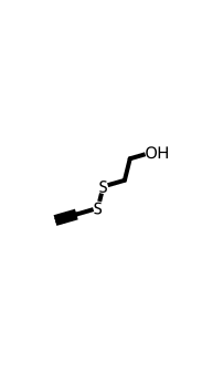 C#CSSCCO